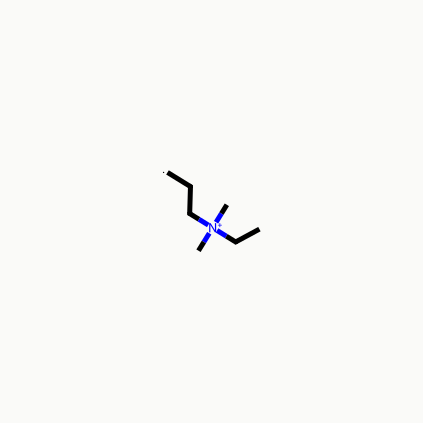 [CH2]CC[N+](C)(C)CC